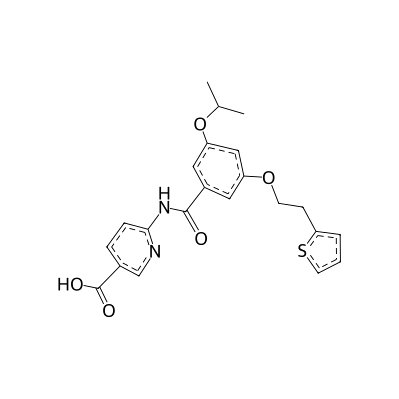 CC(C)Oc1cc(OCCc2cccs2)cc(C(=O)Nc2ccc(C(=O)O)cn2)c1